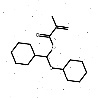 C=C(C)C(=O)OC(OC1CCCCC1)C1CCCCC1